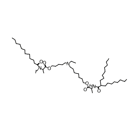 CCCCCCCCCCCC(=O)N(I)C(C)C(=O)OCCCCCN(CC)CCCCCCCOC(=O)C(C)NC(=O)C(CCCCCCCC)CCCCCCCC